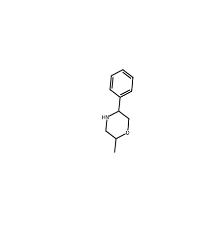 CC1CNC(c2ccccc2)CO1